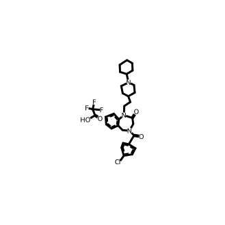 O=C(O)C(F)(F)F.O=C(c1ccc(Cl)cc1)N1CC(=O)N(CCC2CCN(C3CCCCC3)CC2)c2ccccc2C1